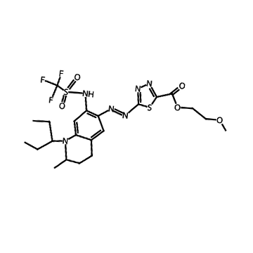 CCC(CC)N1c2cc(NS(=O)(=O)C(F)(F)F)c(N=Nc3nnc(C(=O)OCCOC)s3)cc2CCC1C